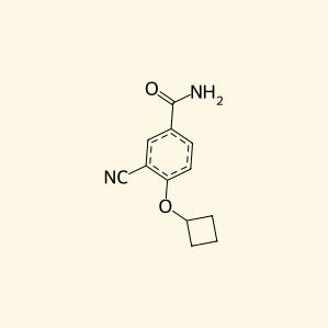 N#Cc1cc(C(N)=O)ccc1OC1CCC1